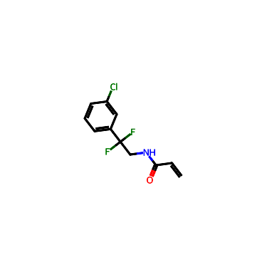 C=CC(=O)NCC(F)(F)c1cccc(Cl)c1